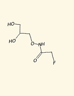 O=C(CF)NOCC(O)CO